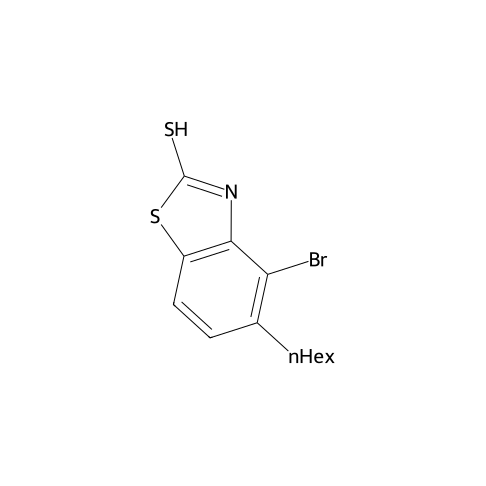 CCCCCCc1ccc2sc(S)nc2c1Br